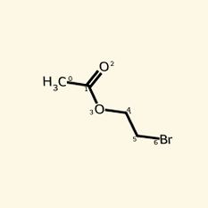 CC(=O)O[CH]CBr